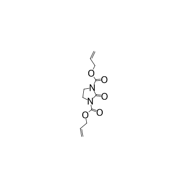 C=CCOC(=O)N1CCN(C(=O)OCC=C)C1=O